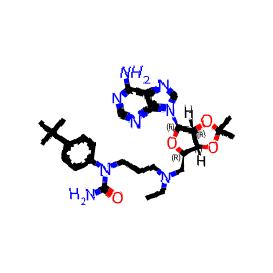 CCN(CCCN(C(N)=O)c1ccc(C(C)(C)C)cc1)C[C@H]1O[C@@H](n2cnc3c(N)ncnc32)[C@@H]2OC(C)(C)O[C@@H]21